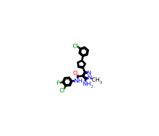 Cn1nc(C2=CCC(c3cccc(Cl)c3)C2)c(C(=O)Nc2ccc(F)c(Cl)c2)c1N